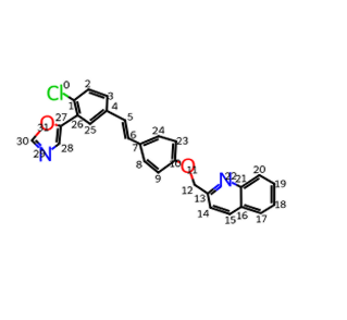 Clc1ccc(C=Cc2ccc(OCc3ccc4ccccc4n3)cc2)cc1-c1cnco1